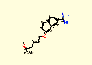 COC(=O)CCCCOc1ccc2ccc(C(=N)N)cc2c1